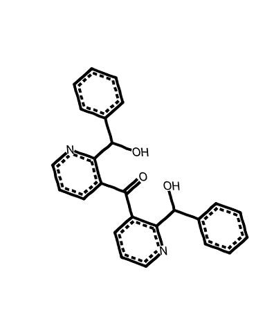 O=C(c1cccnc1C(O)c1ccccc1)c1cccnc1C(O)c1ccccc1